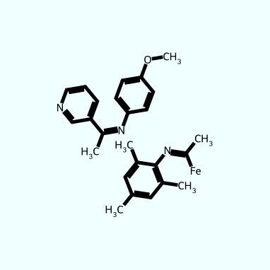 COc1ccc(N=C(C)c2cccnc2)cc1.C[C]([Fe])=Nc1c(C)cc(C)cc1C